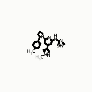 Cc1ccc(C2CCCN2c2cc(-c3cnn(C)c3)cc(Nc3ncns3)n2)cc1